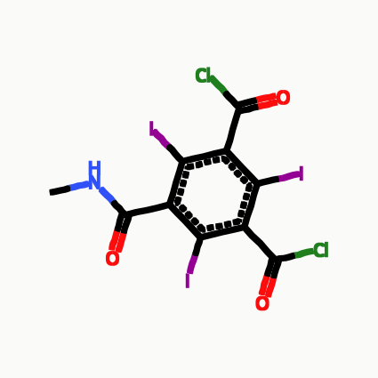 CNC(=O)c1c(I)c(C(=O)Cl)c(I)c(C(=O)Cl)c1I